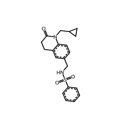 O=C1CCc2cc(CNS(=O)(=O)c3ccccc3)ccc2N1CC1CC1